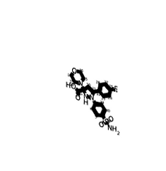 NS(=O)(=O)c1ccc(N2NC(C(=O)O)(N3CCOCC3)C=C2c2ccc(F)cc2)cc1